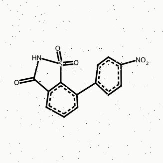 O=C1NS(=O)(=O)c2c1cccc2-c1ccc([N+](=O)[O-])cc1